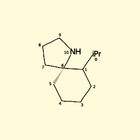 CC(C)C1CCCC[C@@]12CCCN2